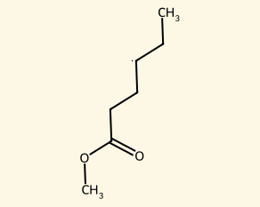 CC[CH]CCC(=O)OC